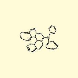 C1=Cc2ccccc2C2C1=CC(N(c1ccccc1)c1ccccc1)=C1C=Cc3ccccc3C12